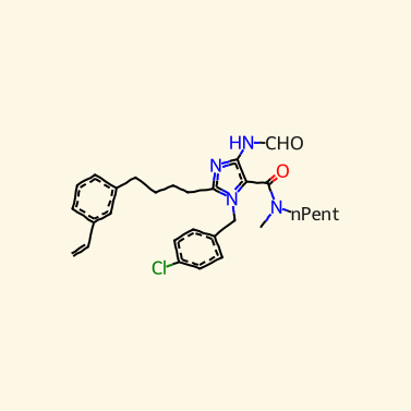 C=Cc1cccc(CCCCc2nc(NC=O)c(C(=O)N(C)CCCCC)n2Cc2ccc(Cl)cc2)c1